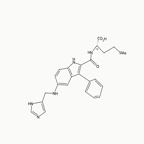 CSCC[C@H](NC(=O)c1[nH]c2ccc(NCc3cnc[nH]3)cc2c1-c1ccccc1)C(=O)O